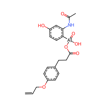 C=CCOc1ccc(CCC(=O)O[As](=O)(O)c2ccc(O)cc2NC(C)=O)cc1